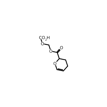 O=C(O)OCOC(=O)C1CCC=CO1